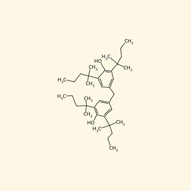 CCCC(C)(C)c1cc(Cc2cc(C(C)(C)CCC)c(O)c(C(C)(C)CCC)c2)cc(C(C)(C)CCC)c1O